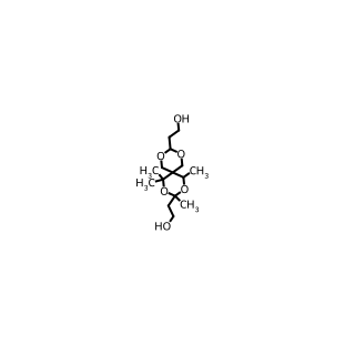 CC1OC(C)(CCO)OC(C)(C)C12COC(CCO)OC2